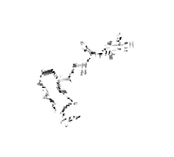 COc1ccc2cccc(CCNC(=O)COP(=O)(O)O)c2c1